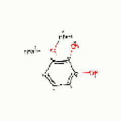 CCCCCOCCCCC.Oc1ccccc1O